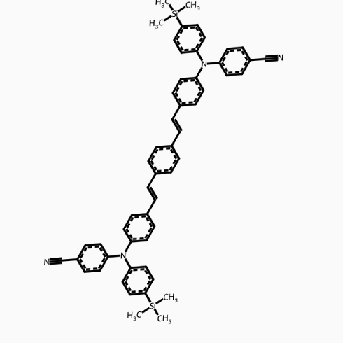 C[Si](C)(C)c1ccc(N(c2ccc(C#N)cc2)c2ccc(/C=C/c3ccc(/C=C/c4ccc(N(c5ccc(C#N)cc5)c5ccc([Si](C)(C)C)cc5)cc4)cc3)cc2)cc1